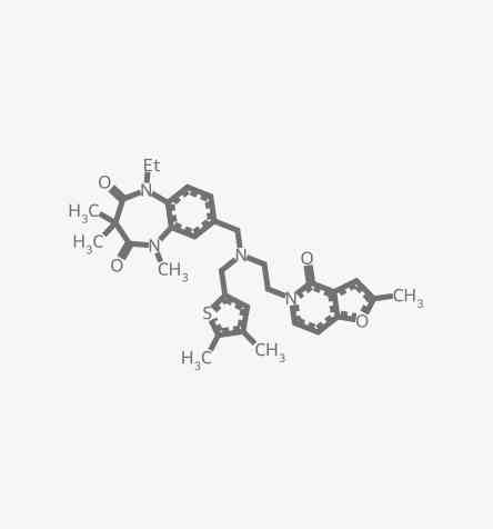 CCN1C(=O)C(C)(C)C(=O)N(C)c2cc(CN(CCn3ccc4oc(C)cc4c3=O)Cc3cc(C)c(C)s3)ccc21